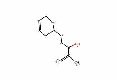 C=C(C)C(O)CCC1CC=CCC1